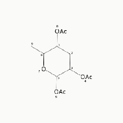 CC(=O)OC1CC(OC(C)=O)C(OC(C)=O)OC1C